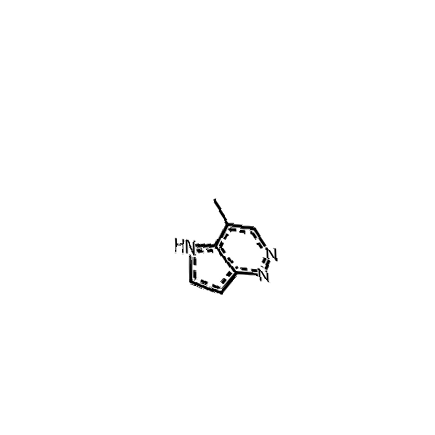 Cc1cnnc2cc[nH]c12